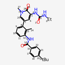 CCNC(=O)Nc1cc(-c2cccc(NC(=O)c3ccc(C(C)(C)C)cc3)c2C)cn(C)c1=O